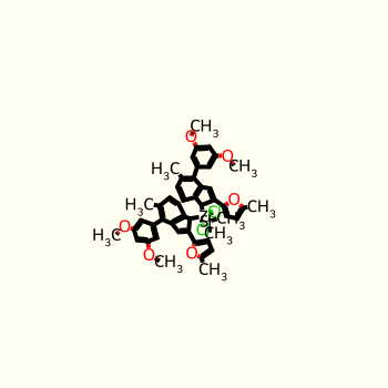 COc1cc(OC)cc(-c2c(C)ccc3c2C=C(c2ccc(C)o2)[CH]3[Zr]([Cl])([Cl])([CH]2C(c3ccc(C)o3)=Cc3c2ccc(C)c3-c2cc(OC)cc(OC)c2)=[Si](C)C)c1